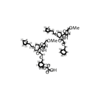 COCc1nnc(C2(NC(=O)COCc3ccccc3)CCN(CCc3cccs3)CC2)o1.COCc1nnc(C2(NC(=O)COCc3ccccc3)CCN(CCc3cccs3)CC2)o1.O=C(O)C(=O)O